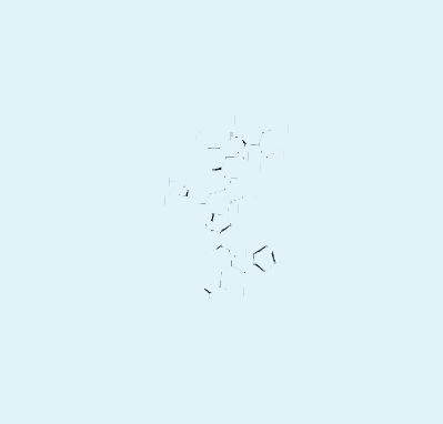 CCC(C)C(NC(=O)C(NC)C(C)C)C(=O)N(C)C(CC(OC(C)=O)c1nc(C(=O)NC(Cc2ccccc2)CC(C)C(=O)O)cs1)C(C)C.Cl